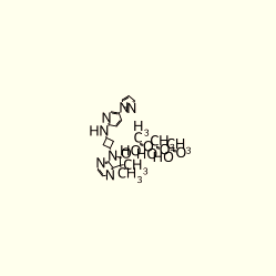 CC(=O)O.CC(=O)O.CC(=O)O.CC1(C)C(=O)N([C@H]2C[C@H](Nc3ccc(-n4cccn4)cn3)C2)c2nccnc21